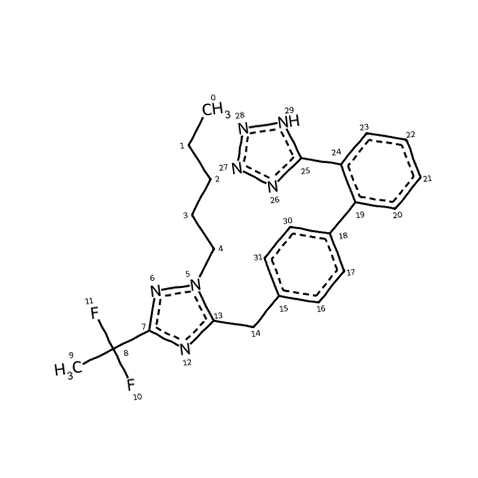 CCCCCn1nc(C(C)(F)F)nc1Cc1ccc(-c2ccccc2-c2nnn[nH]2)cc1